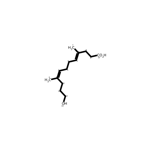 CC(=CCCC=C(C)CCC(=O)O)CCCO